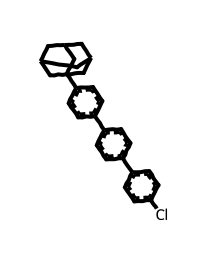 Clc1ccc(-c2ccc(-c3ccc(C45CC6CC(CC(C6)C4)C5)cc3)cc2)cc1